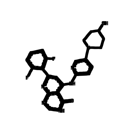 O=c1[nH]cnc2nc(-c3c(F)cccc3F)cc(Nc3ccc(N4CCC(O)CC4)cn3)c12